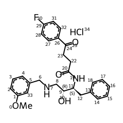 COc1cccc(CNC[C@@H](O)[C@H](Cc2ccccc2)NC(=O)CCC(=O)c2ccc(F)cc2)c1.Cl